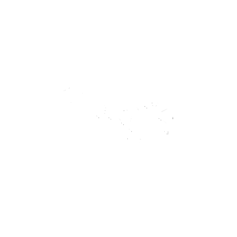 CC1(C)C[C@@H]2CCCNc3cccc(n3)S(=O)(=O)NC(=O)c3ccc(N4CCN(CCC5CC6CC7CCC5C(C7)C6)C4=O)nc3N1C2